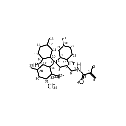 C=C(C)C(=O)NCCC[N+](C1CC(C)CCC1C(C)C)(C1CC(C)CCC1C(C)C)C1CC(C)CCC1C(C)C.[Cl-]